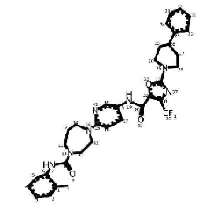 Cc1ccccc1NC(=O)N1CCCN(c2ccc(NC(=O)c3oc(N4CCC(c5ccccc5)CC4)nc3C(F)(F)F)cn2)CC1